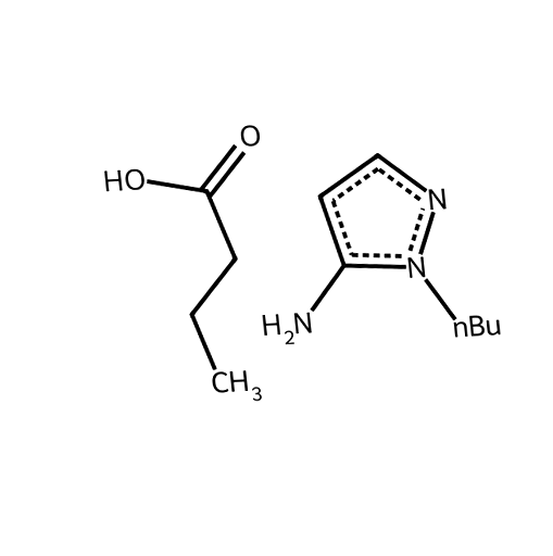 CCCC(=O)O.CCCCn1nccc1N